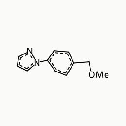 COCc1ccc(-n2cccn2)cc1